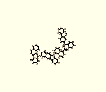 c1ccc2c(c1)ccc1c3ccccc3n(-c3ccc4cc5c(cc4c3)c3ccccc3n5-c3cccc4c(-c5nc(-c6ccc7c(c6)oc6ccccc67)c6ccccc6n5)cccc34)c21